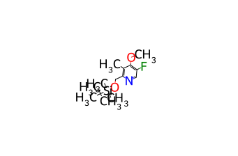 COc1c(F)cnc(CO[Si](C)(C)C(C)(C)C)c1C